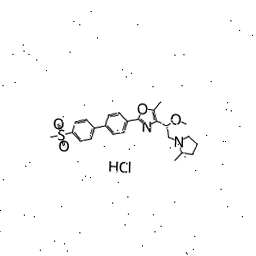 COC(CN1CCCC1C)c1nc(-c2ccc(-c3ccc(S(C)(=O)=O)cc3)cc2)oc1C.Cl